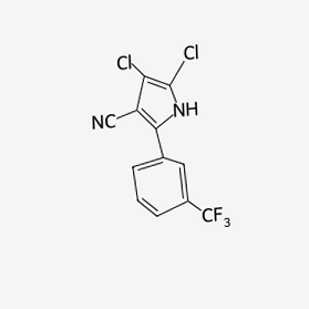 N#Cc1c(-c2cccc(C(F)(F)F)c2)[nH]c(Cl)c1Cl